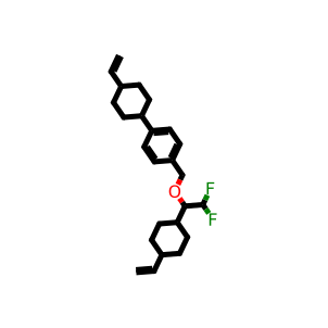 C=CC1CCC(c2ccc(COC(C(F)F)C3CCC(C=C)CC3)cc2)CC1